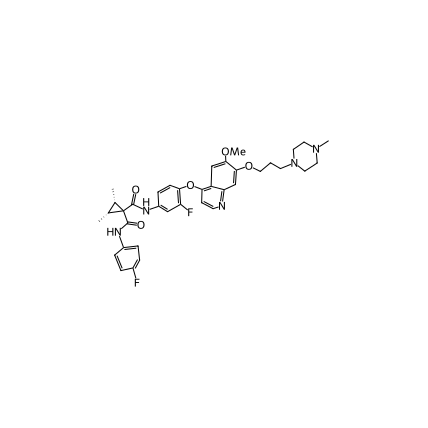 COc1cc2c(Oc3ccc(NC(=O)C4(C(=O)Nc5ccc(F)cc5)[C@H](C)[C@@H]4C)cc3F)ccnc2cc1OCCCN1CCN(C)CC1